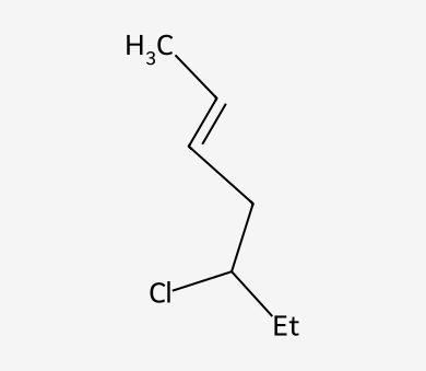 [CH2]CC(Cl)CC=CC